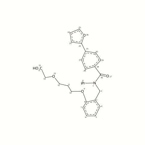 CC(C)N(Cc1ccccc1OCCCOCC(=O)O)C(=O)c1ccc(-c2ccco2)cc1